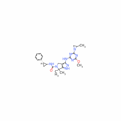 COc1nc(Nc2n[nH]c3c2CN(C(=O)NC2C[C@@H]2c2ccccc2)C3(C)C)nc(N2CC2C)n1